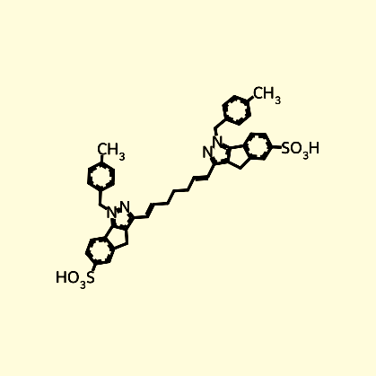 Cc1ccc(Cn2nc(/C=C/CCC/C=C/c3nn(Cc4ccc(C)cc4)c4c3Cc3cc(S(=O)(=O)O)ccc3-4)c3c2-c2ccc(S(=O)(=O)O)cc2C3)cc1